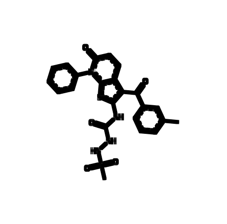 Cc1cccc(C(=O)c2c(NC(=O)NNS(C)(=O)=O)sc3c2ccc(=O)n3-c2ccccc2)c1